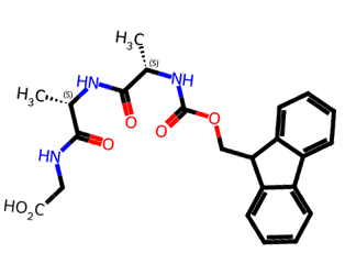 C[C@H](NC(=O)OCC1c2ccccc2-c2ccccc21)C(=O)N[C@@H](C)C(=O)NCC(=O)O